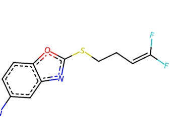 Nc1ccc2oc(SCCC=C(F)F)nc2c1